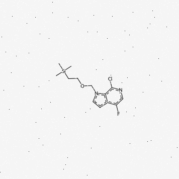 C[Si](C)(C)CCOCn1ccc2c(F)cnc(Cl)c21